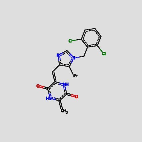 C=c1[nH]c(=O)c(=Cc2ncn(Cc3c(Cl)cccc3Cl)c2C(C)C)[nH]c1=O